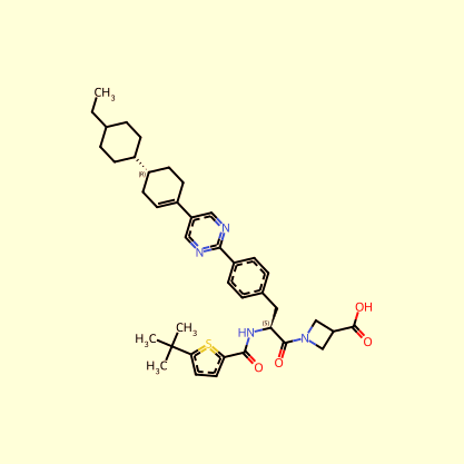 CCC1CCC([C@H]2CC=C(c3cnc(-c4ccc(C[C@H](NC(=O)c5ccc(C(C)(C)C)s5)C(=O)N5CC(C(=O)O)C5)cc4)nc3)CC2)CC1